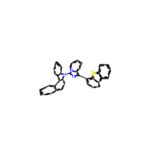 c1ccc2c(c1)ccc1c2c2ccccc2n1-c1nc(-c2cccc3c2sc2ccccc23)c2ccccn12